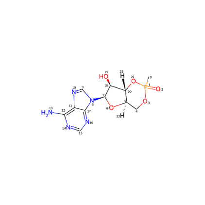 CP1(=O)OC[C@H]2O[C@@H](n3cnc4c(N)ncnc43)[C@@H](O)[C@@H]2O1